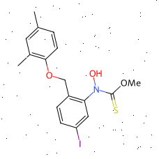 COC(=S)N(O)c1cc(I)ccc1COc1ccc(C)cc1C